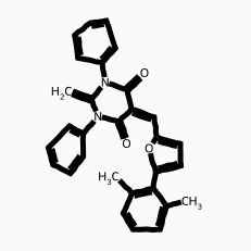 C=c1n(-c2ccccc2)c(=O)c(=Cc2ccc(-c3c(C)cccc3C)o2)c(=O)n1-c1ccccc1